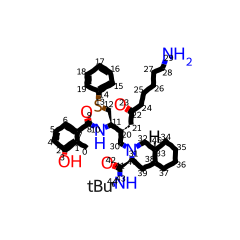 Cc1c(O)cccc1C(=O)N[C@@H](CSc1ccccc1)[C@H](CC(=O)CCCCCN)CN1C[C@H]2CCCCC2C[C@H]1C(=O)NC(C)(C)C